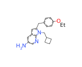 CCOc1ccc(Cc2cc3cc(N)cnc3n2CC2CCC2)cc1